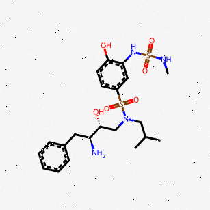 CNS(=O)(=O)Nc1cc(S(=O)(=O)N(CC(C)C)C[C@@H](O)[C@@H](N)Cc2ccccc2)ccc1O